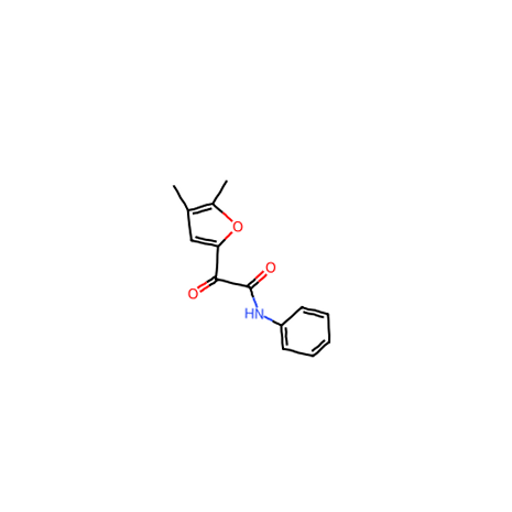 Cc1cc(C(=O)C(=O)Nc2ccccc2)oc1C